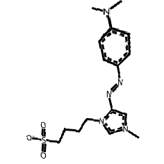 CN(C)c1ccc(/N=N/c2cn(C)c[n+]2CCCCS(=O)(=O)[O-])cc1